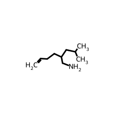 C=CCCC(CN)CC(C)C